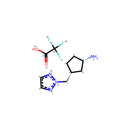 N[C@H]1CC[C@@H](Cn2nccn2)C1.O=C(O)C(F)(F)F